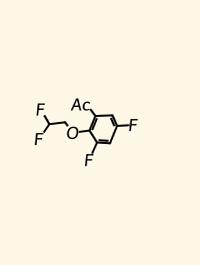 CC(=O)c1cc(F)cc(F)c1OCC(F)F